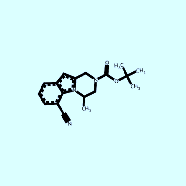 CC1CN(C(=O)OC(C)(C)C)Cc2cc3cccc(C#N)c3n21